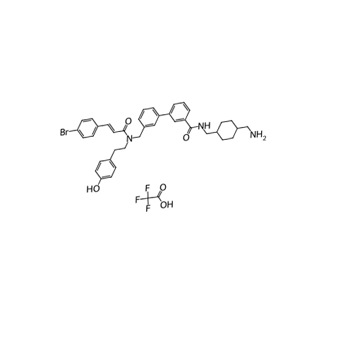 NCC1CCC(CNC(=O)c2cccc(-c3cccc(CN(CCc4ccc(O)cc4)C(=O)C=Cc4ccc(Br)cc4)c3)c2)CC1.O=C(O)C(F)(F)F